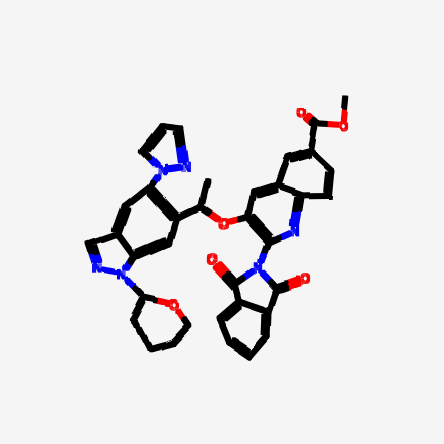 COC(=O)c1ccc2nc(N3C(=O)c4ccccc4C3=O)c(OC(C)c3cc4c(cnn4C4CCCCO4)cc3-n3cccn3)cc2c1